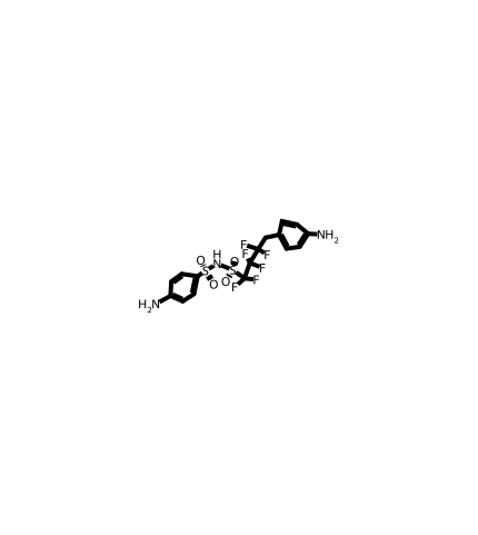 Nc1ccc(CC(F)(F)C(F)(F)C(F)(F)S(=O)(=O)NS(=O)(=O)c2ccc(N)cc2)cc1